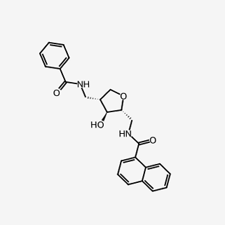 O=C(NC[C@@H]1CO[C@H](CNC(=O)c2cccc3ccccc23)[C@H]1O)c1ccccc1